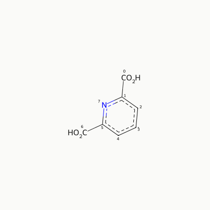 O=C(O)c1c[c]cc(C(=O)O)n1